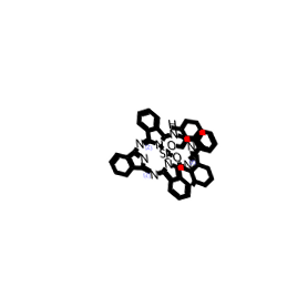 CC1CCCC(C)C1CO[Si]1(OCC2C(C)CCCC2C)N2/C3=N\C4=NC(=N\c5c6ccccc6c(n51)/N=C1\N=C(NC2c2ccccc23)c2ccccc21)/C1=C4C=CCC1